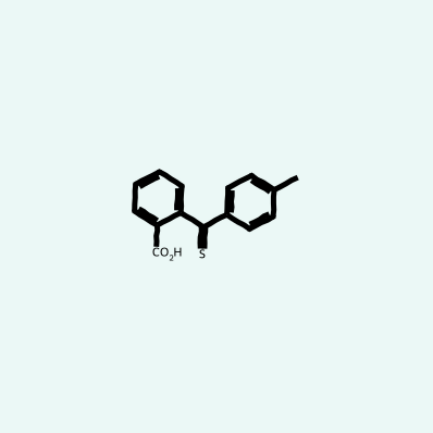 Cc1ccc(C(=S)c2ccccc2C(=O)O)cc1